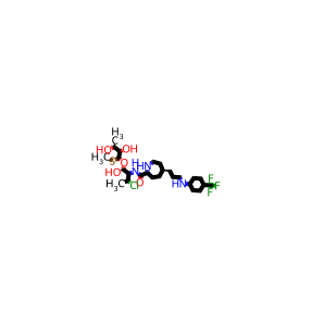 CSC(O[C@@H](O)C(NC(=O)C1CC[C@H](CCCNC2CCC(C(F)(F)F)CC2)CCN1)C(C)Cl)C(O)[C@@H](C)O